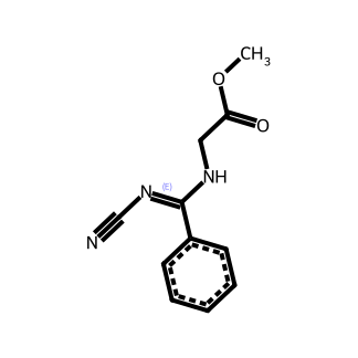 COC(=O)CN/C(=N/C#N)c1ccccc1